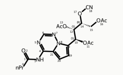 CCCC(=O)Nc1ncnn2c([C@H](OC(C)=O)[C@H](OC(C)=O)[C@@H](COC(C)=O)OC#N)ccc12